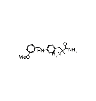 COc1cccc(CNc2ccc(CC(C)(N)C(N)=O)cc2)c1